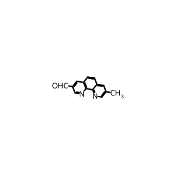 Cc1cnc2c(ccc3cc(C=O)cnc32)c1